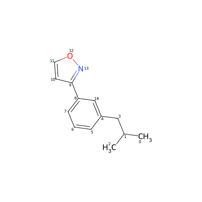 CC(C)Cc1cccc(-c2ccon2)c1